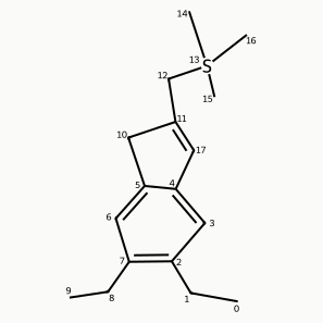 CCc1cc2c(cc1CC)CC(CS(C)(C)C)=C2